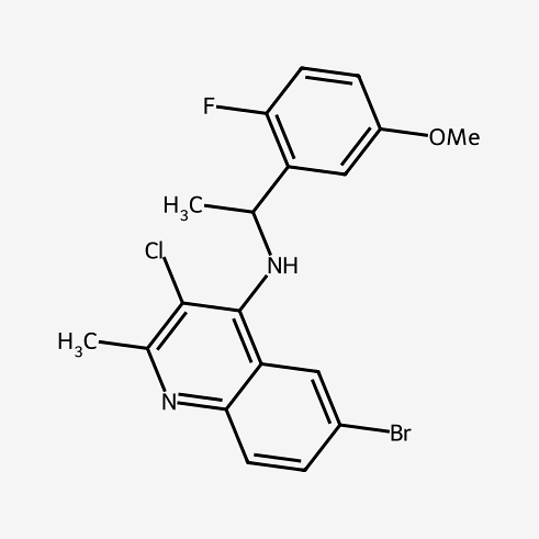 COc1ccc(F)c(C(C)Nc2c(Cl)c(C)nc3ccc(Br)cc23)c1